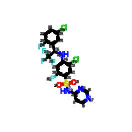 O=S(=O)(Nc1ccncn1)c1cc(Cl)c(NC(c2cc(Cl)ccc2F)C(F)(F)F)cc1F